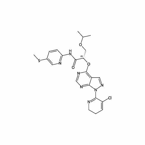 CSc1ccc(NC(=O)[C@H](COC(C)C)Oc2ncnc3c2cnn3C2=NCCC=C2Cl)nc1